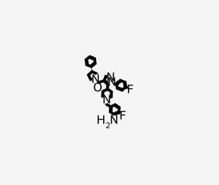 Nc1cc(CN2CCC(c3c(C(=O)N4CC[C@H](c5ccccc5)C4)cnn3-c3ccc(F)cc3)CC2)ccc1F